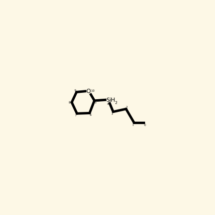 CCCC[SiH2]C1CCCCO1